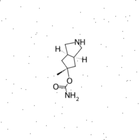 C[C@@]1(OC(N)=O)C[C@H]2CNC[C@H]2C1